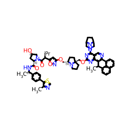 Cc1ncsc1-c1ccc([C@H](C)NC(=O)[C@@H]2C[C@@H](O)CN2C(=O)C(c2cc(OC[C@@H]3CC[C@]4(COc5nc(N6CC7CCC(C6)N7)c6cnc7c(c6n5)C(C)c5cccc6cccc-7c56)CCCN34)no2)C(C)C)cc1